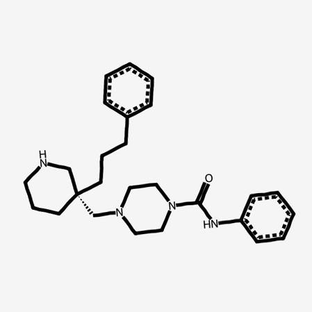 O=C(Nc1ccccc1)N1CCN(C[C@]2(CCCc3ccccc3)CCCNC2)CC1